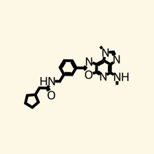 CNc1nc2oc(-c3cccc(CNC(=O)CC4CCCC4)c3)nc2c2c1ncn2C